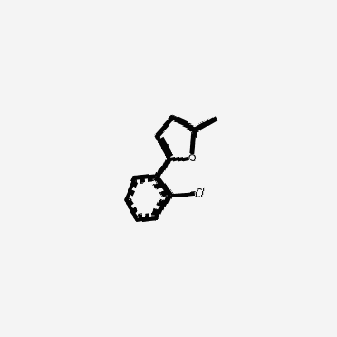 CC1CC=C(c2ccccc2Cl)O1